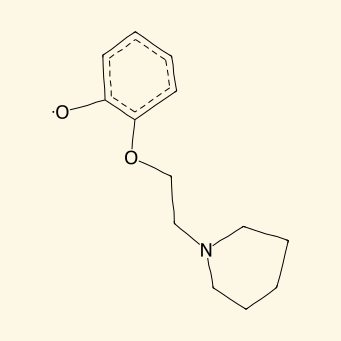 [O]c1ccccc1OCCN1CCCCC1